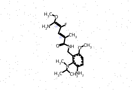 CO/C(N)=C(F)/C=C(\C)C(=O)NCc1c(OC)ccc(N)c1N(C)C(C)C